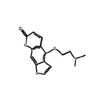 CN(C)CCOc1c2ccoc2cc2oc(=O)ccc12